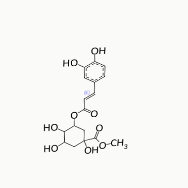 COC(=O)C1(O)CC(O)C(O)C(OC(=O)/C=C/c2ccc(O)c(O)c2)C1